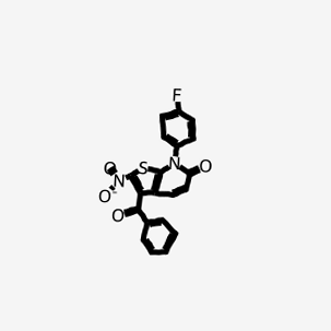 O=C(c1ccccc1)c1c([N+](=O)[O-])sc2c1ccc(=O)n2-c1ccc(F)cc1